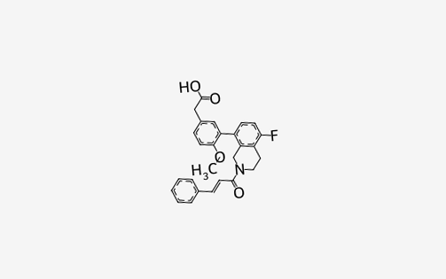 COc1ccc(CC(=O)O)cc1-c1ccc(F)c2c1CN(C(=O)C=Cc1ccccc1)CC2